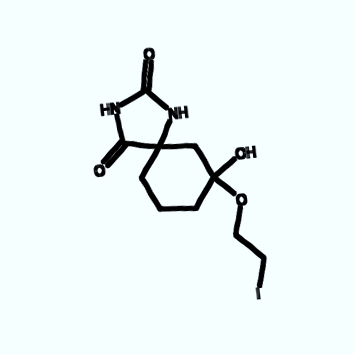 O=C1NC(=O)C2(CCCC(O)(OCCI)C2)N1